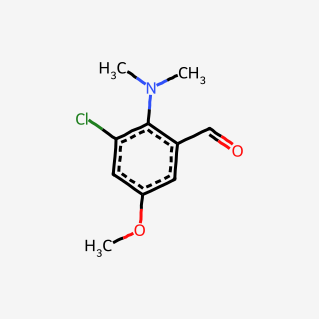 COc1cc(Cl)c(N(C)C)c(C=O)c1